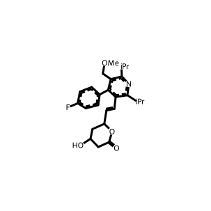 COCc1c(C(C)C)nc(C(C)C)c(C=CC2CC(O)CC(=O)O2)c1-c1ccc(F)cc1